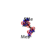 CSC(C)=NOC(=O)N(C)SN(C)C(=O)OCCCOC(=O)N(C)SN(C)C(=O)ON=C(SC)C(=O)N(C)C